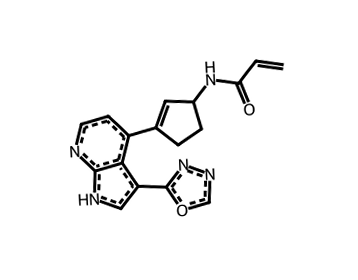 C=CC(=O)NC1C=C(c2ccnc3[nH]cc(-c4nnco4)c23)CC1